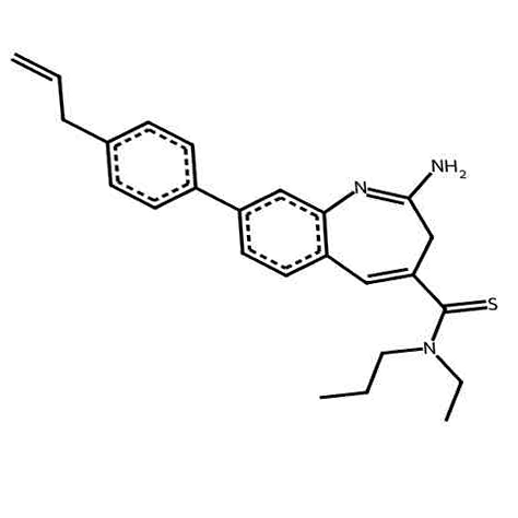 C=CCc1ccc(-c2ccc3c(c2)N=C(N)CC(C(=S)N(CC)CCC)=C3)cc1